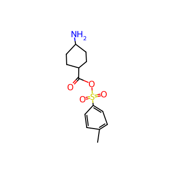 Cc1ccc(S(=O)(=O)OC(=O)C2CCC(N)CC2)cc1